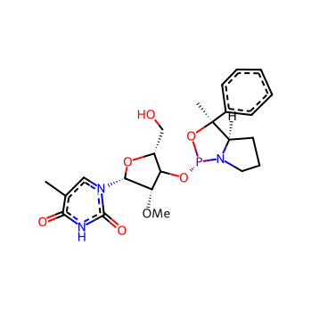 CO[C@H]1C(O[P@]2O[C@@](C)(c3ccccc3)[C@H]3CCCN32)[C@@H](CO)O[C@H]1n1cc(C)c(=O)[nH]c1=O